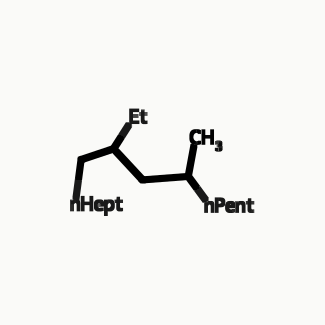 CCCCCCCCC(CC)CC(C)CCCCC